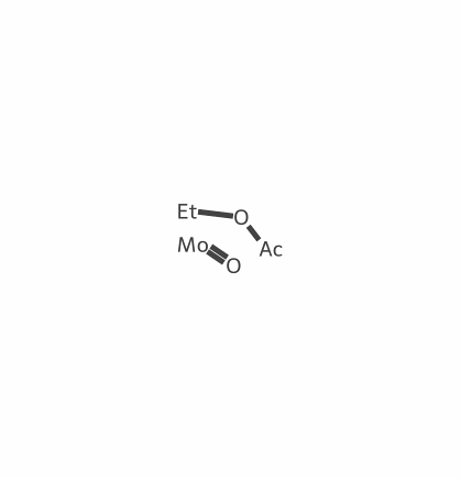 CCOC(C)=O.[O]=[Mo]